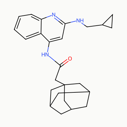 O=C(CC12CC3CC(CC(C3)C1)C2)Nc1cc(NCC2CC2)nc2ccccc12